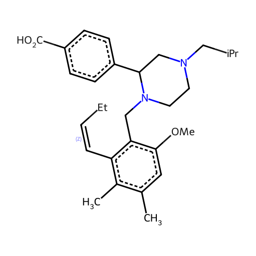 CC/C=C\c1c(C)c(C)cc(OC)c1CN1CCN(CC(C)C)CC1c1ccc(C(=O)O)cc1